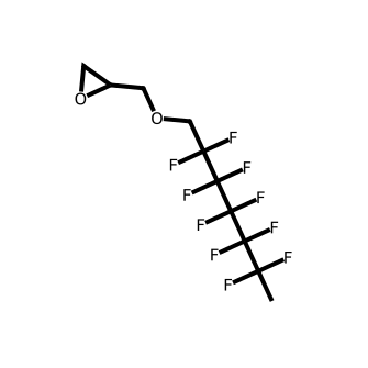 CC(F)(F)C(F)(F)C(F)(F)C(F)(F)C(F)(F)COCC1CO1